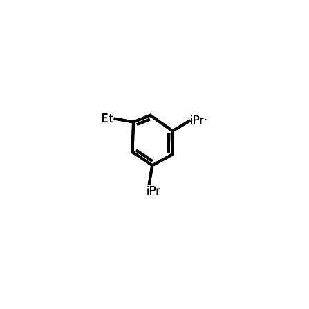 CCc1cc([C](C)C)cc(C(C)C)c1